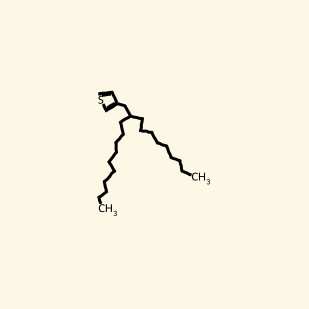 CCCCCCCCCCC(CCCCCCCCC)Cc1ccsc1